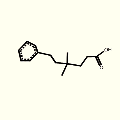 CC(C)(CCC(=O)O)CCc1ccccc1